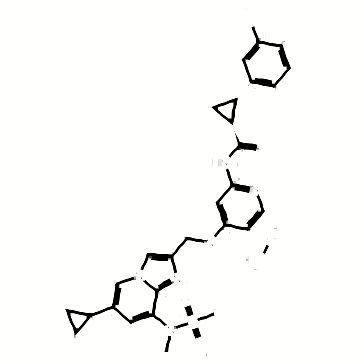 CN(c1cc(C2CC2)cn2cc(CNc3ccnc(NC(=O)[C@H]4C[C@@H]4c4cccc(Cl)c4)c3)nc12)S(C)(=O)=O.O=CO